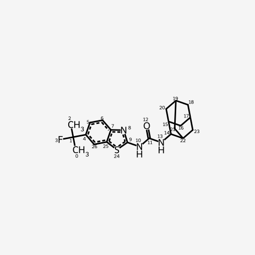 CC(C)(F)c1ccc2nc(NC(=O)NC3C4CC5CC(C4)CC3C5)sc2c1